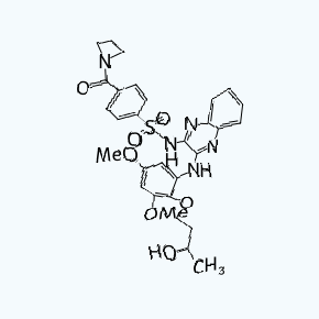 COc1cc(Nc2nc3ccccc3nc2NS(=O)(=O)c2ccc(C(=O)N3CCC3)cc2)c(OCCC(C)O)c(OC)c1